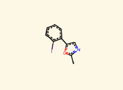 Cc1ncc(-c2ccccc2I)o1